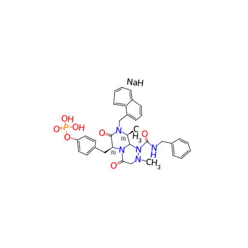 C[C@H]1C2N(C(=O)CN(C)N2C(=O)NCc2ccccc2)[C@@H](Cc2ccc(OP(=O)(O)O)cc2)C(=O)N1Cc1cccc2ccccc12.[NaH]